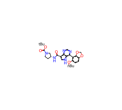 CCCCOc1ccc2c(c1-c1ncnc3c(C(=O)N[C@@H]4CCN(C(=O)OC(C)(C)C)C4)c[nH]c13)OCO2